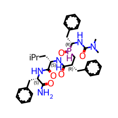 CC(C)C[C@H](NC(=O)[C@@H](Cc1ccccc1)C[PH](=O)[C@H](Cc1ccccc1)NC(=O)N(C)C)C(=O)N[C@@H](Cc1ccccc1)C(N)=O